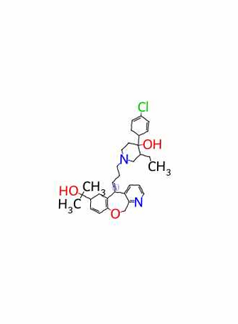 CCC1CN(CC/C=C2/C3=C(C=CC(C(C)(C)O)C3)OCc3ncccc32)CCC1(O)C1C=CC(Cl)=CC1